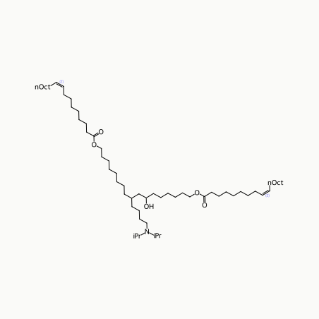 CCCCCCCC/C=C\CCCCCCCC(=O)OCCCCCCCCC(CCCCN(C(C)C)C(C)C)CC(O)CCCCCCOC(=O)CCCCCCC/C=C\CCCCCCCC